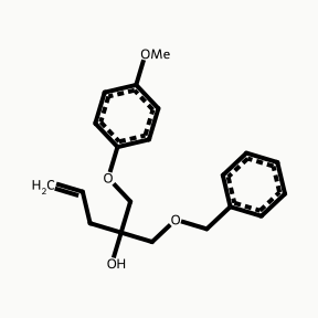 C=CCC(O)(COCc1ccccc1)COc1ccc(OC)cc1